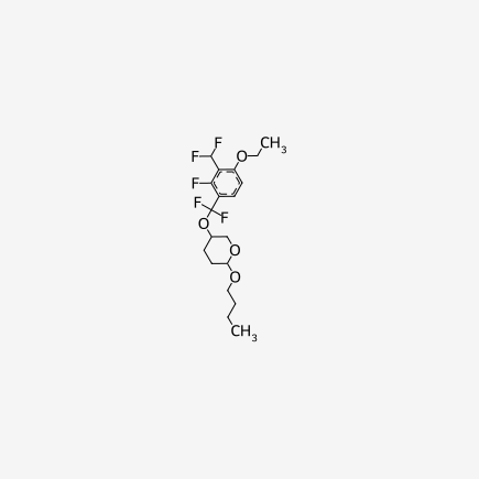 CCCCOC1CCC(OC(F)(F)c2ccc(OCC)c(C(F)F)c2F)CO1